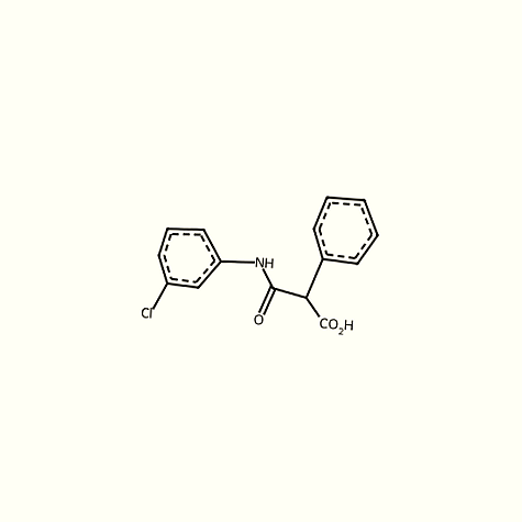 O=C(O)C(C(=O)Nc1cccc(Cl)c1)c1ccccc1